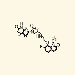 Cn1c(=O)ccc2ccc(F)c(OCCNCC3CN(c4cnc5c(n4)NC(=O)CO5)C(=O)O3)c21